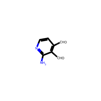 Nc1nccc(C=O)c1C=O